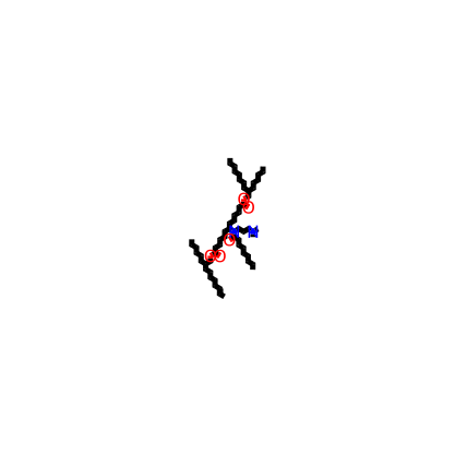 C/C=C/CCCCCC(CCCCCC)COC(=O)CCCCCC(CCCCCC(=O)OCC(CCCCCC)CCCCCCCC)N(CCCN(C)C)C(=O)CCCCCCCC